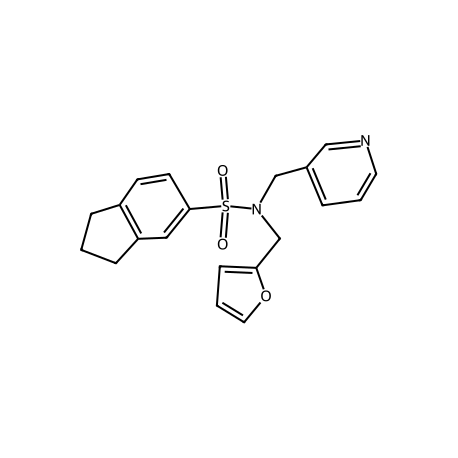 O=S(=O)(c1ccc2c(c1)CCC2)N(Cc1cccnc1)Cc1ccco1